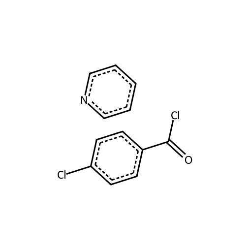 O=C(Cl)c1ccc(Cl)cc1.c1ccncc1